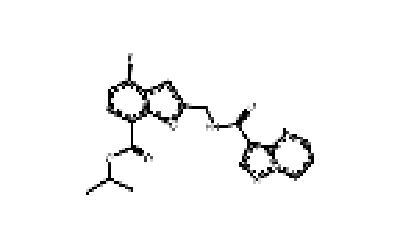 CC(C)OC(=O)c1ccc(F)c2cc(CNC(=O)c3cnn4cccnc34)oc12